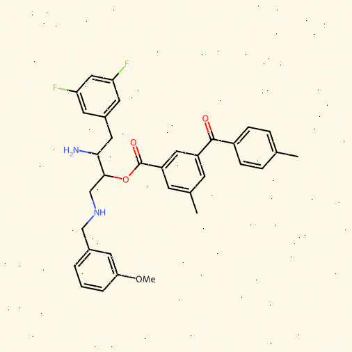 COc1cccc(CNCC(OC(=O)c2cc(C)cc(C(=O)c3ccc(C)cc3)c2)C(N)Cc2cc(F)cc(F)c2)c1